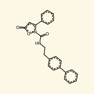 O=C(NCCc1ccc(-c2ccccc2)cc1)n1oc(=O)cc1-c1ccccc1